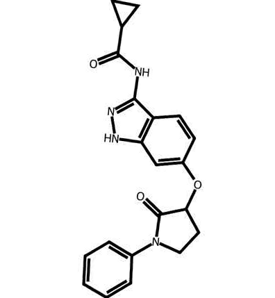 O=C(Nc1n[nH]c2cc(OC3CCN(c4ccccc4)C3=O)ccc12)C1CC1